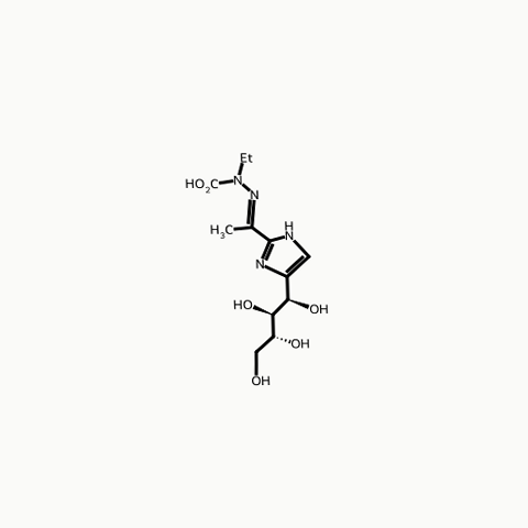 CCN(/N=C(\C)c1nc([C@@H](O)[C@H](O)[C@H](O)CO)c[nH]1)C(=O)O